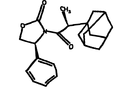 C[C@H](C(=O)N1C(=O)OC[C@@H]1c1ccccc1)C12CC3CC(CC(C3)C1)C2